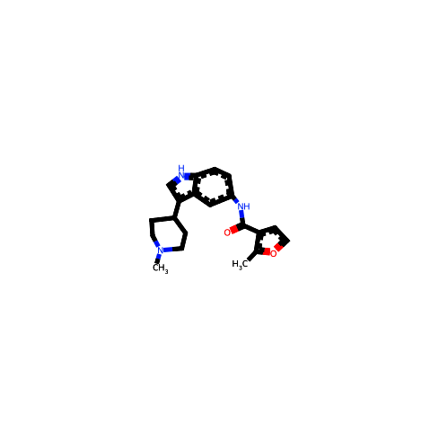 Cc1occc1C(=O)Nc1ccc2[nH]cc(C3CCN(C)CC3)c2c1